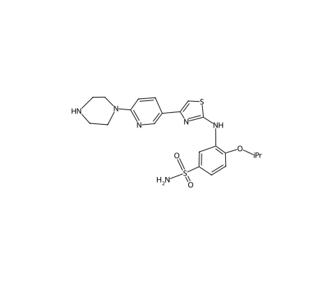 CC(C)Oc1ccc(S(N)(=O)=O)cc1Nc1nc(-c2ccc(N3CCNCC3)nc2)cs1